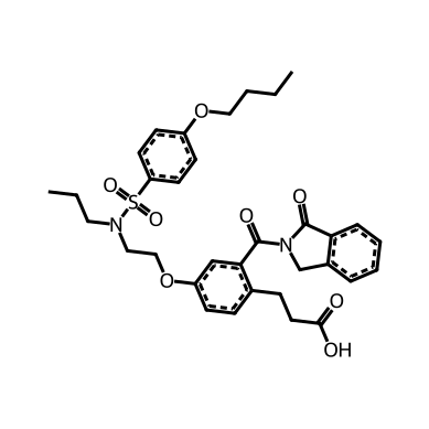 CCCCOc1ccc(S(=O)(=O)N(CCC)CCOc2ccc(CCC(=O)O)c(C(=O)N3Cc4ccccc4C3=O)c2)cc1